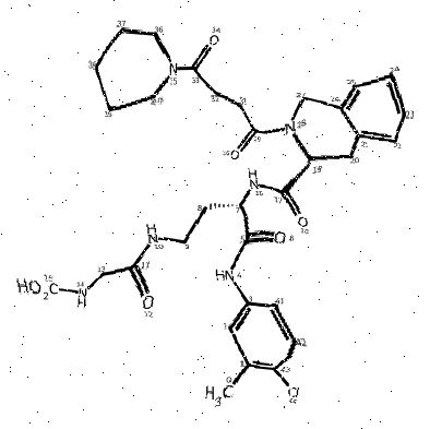 Cc1cc(NC(=O)[C@H](CCNC(=O)CNC(=O)O)NC(=O)[C@@H]2Cc3ccccc3CN2C(=O)CCC(=O)N2CCCCC2)ccc1Cl